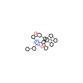 c1ccc(-c2cccc(-c3nc(-c4cccc5c4oc4ccccc45)nc(-c4cccc5oc6ccc(-c7cccc(-c8cccc9c8C8(c%10ccccc%10-c%10ccccc%108)c8ccccc8-9)c7)cc6c45)n3)c2)cc1